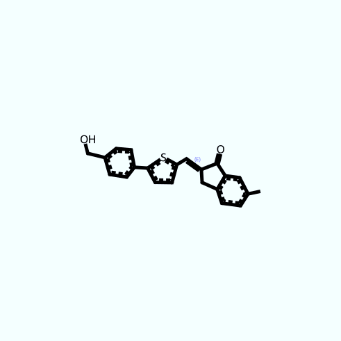 Cc1ccc2c(c1)C(=O)/C(=C/c1ccc(-c3ccc(CO)cc3)s1)C2